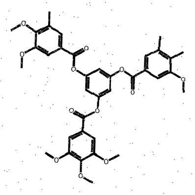 COc1cc(C(=O)Oc2cc(OC(=O)c3cc(C)c(OC)c(OC)c3)cc(OC(=O)c3cc(OC)c(OC)c(OC)c3)c2)cc(C)c1C